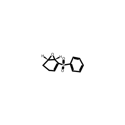 O=S(=O)(C1=CCC[C@@H]2O[C@H]12)c1ccccc1